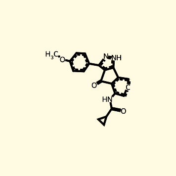 COc1ccc(-c2n[nH]c3c2C(=O)c2c(NC(=O)C4CC4)cccc2-3)cc1